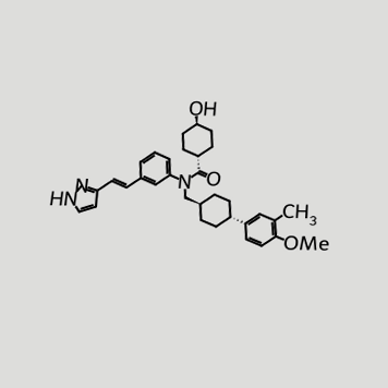 COc1ccc([C@H]2CC[C@H](CN(c3cccc(C=Cc4cc[nH]n4)c3)C(=O)[C@H]3CC[C@H](O)CC3)CC2)cc1C